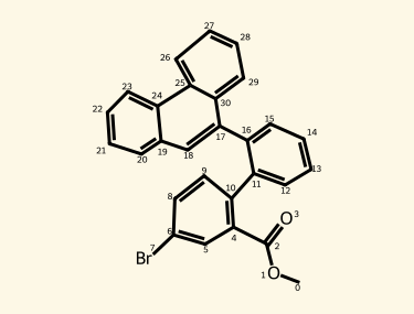 COC(=O)c1cc(Br)ccc1-c1ccccc1-c1cc2ccccc2c2ccccc12